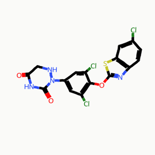 O=C1CNN(c2cc(Cl)c(Oc3nc4ccc(Cl)cc4s3)c(Cl)c2)C(=O)N1